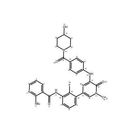 CCCCc1ncccc1C(=O)Nc1cccc(-c2cn(C)c(=O)c(Nc3ccc(C(=O)N4CCC(O)CC4)cc3)n2)c1F